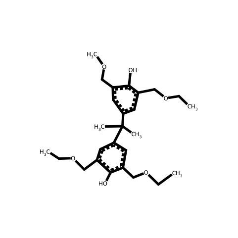 CCOCc1cc(C(C)(C)c2cc(COCC)c(O)c(COCC)c2)cc(COC)c1O